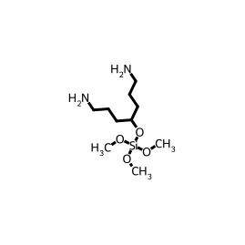 CO[Si](OC)(OC)OC(CCCN)CCCN